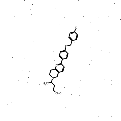 CC(CCC=O)N1CCc2nc(-c3ccc(OCc4ccc(Cl)cc4)cc3)ncc2C1